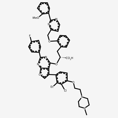 CCc1c(-c2coc3nc(-c4ccc(F)cc4)nc(O[C@H](Cc4ccccc4OCc4ccnc(-c5ccccc5OC)n4)C(=O)O)c23)ccc(OCCN2CCN(C)CC2)c1Cl